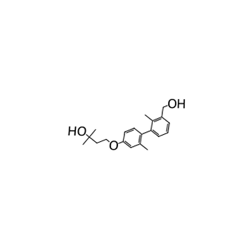 Cc1cc(OCCC(C)(C)O)ccc1-c1cccc(CO)c1C